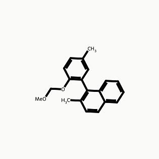 COCOc1ccc(C)cc1-c1c(C)ccc2ccccc12